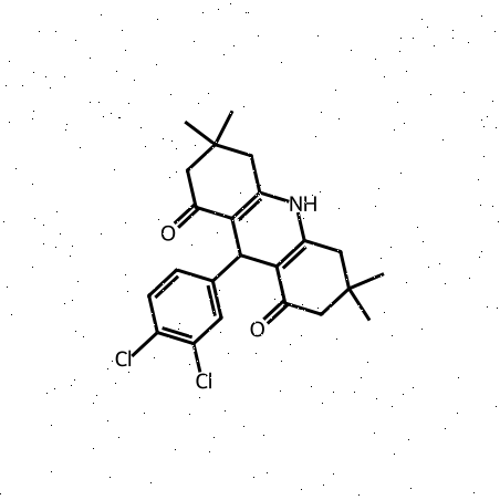 CC1(C)CC(=O)C2=C(C1)NC1=C(C(=O)CC(C)(C)C1)C2c1ccc(Cl)c(Cl)c1